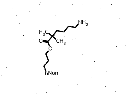 CCCCCCCCCCCCOC(=O)C(C)(C)CCCCN